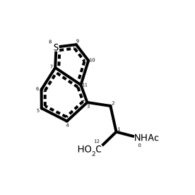 CC(=O)NC(Cc1cccc2sccc12)C(=O)O